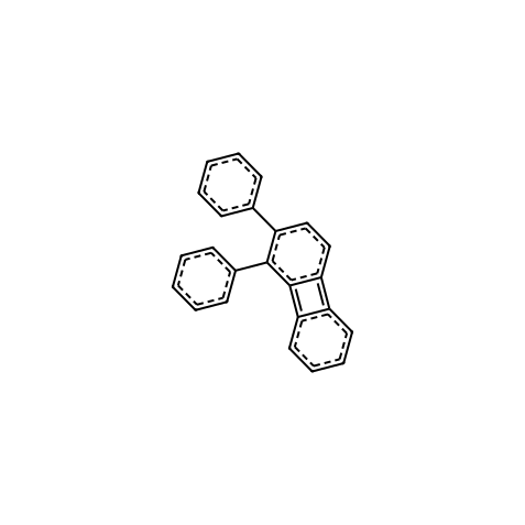 c1ccc(-c2ccc3c(c2-c2ccccc2)=c2ccccc2=3)cc1